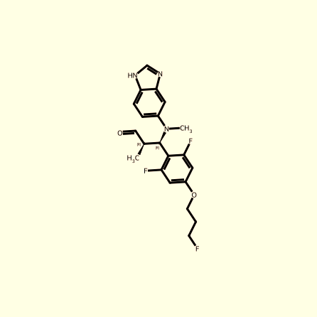 C[C@@H](C=O)[C@H](c1c(F)cc(OCCCF)cc1F)N(C)c1ccc2[nH]cnc2c1